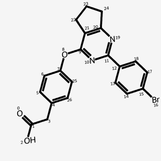 O=C(O)Cc1ccc(Oc2nc(-c3ccc(Br)cc3)nc3c2CCC3)cc1